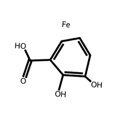 O=C(O)c1cccc(O)c1O.[Fe]